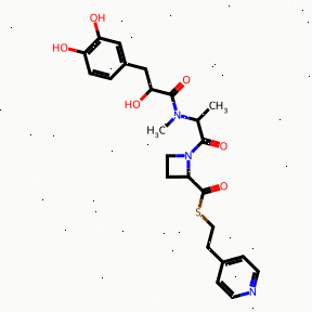 CC(C(=O)N1CCC1C(=O)SCCc1ccncc1)N(C)C(=O)C(O)Cc1ccc(O)c(O)c1